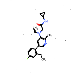 C=CN(CC(=O)NC1CC1)c1cc(-c2ccc(F)cc2CC)cnc1C